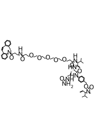 C=CC(C(C)C)N(C)C(=O)OCc1ccc(NC(=O)[C@H](CCCNC(N)=O)NC(=C)C(NC(=O)CCOCCOCCOCCOCCOCCC(=O)NCCC(=O)N2Cc3ccccc3C#Cc3ccccc32)C(C)C)cc1